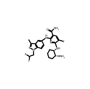 Cc1nn(CC(F)F)c2ccc(Nc3nc(N[C@@H]4CCCC[C@@H]4N)c(F)cc3C(N)=O)cc12